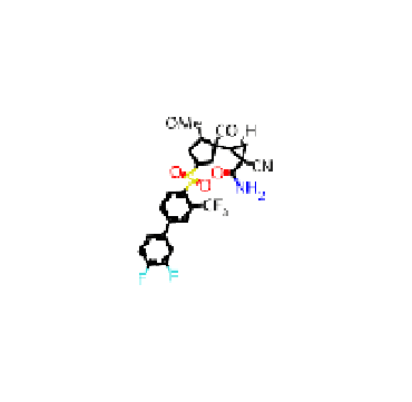 CO[C@@H]1C[C@H](S(=O)(=O)c2ccc(-c3ccc(F)c(F)c3)cc2C(F)(F)F)C[C@@]1(C(=O)O)C1CC1(C#N)C(N)=O